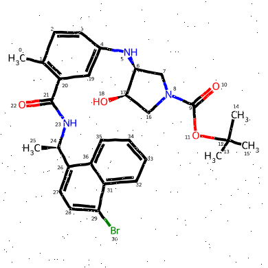 Cc1ccc(N[C@H]2CN(C(=O)OC(C)(C)C)C[C@H]2O)cc1C(=O)N[C@H](C)c1ccc(Br)c2ccccc12